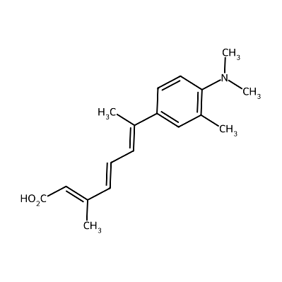 CC(C=CC=C(C)c1ccc(N(C)C)c(C)c1)=CC(=O)O